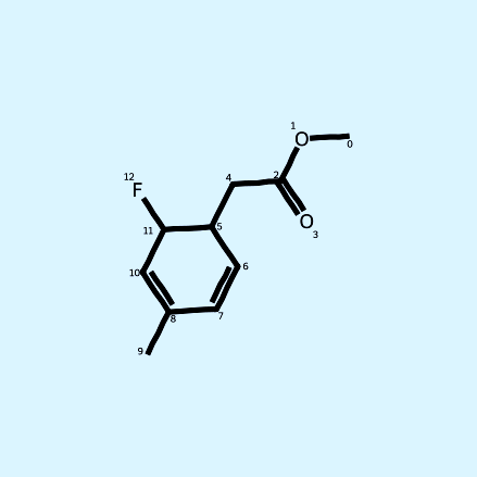 COC(=O)CC1C=CC(C)=CC1F